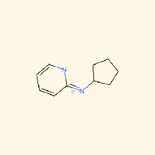 C1=C[N]/C(=N\C2CCCC2)C=C1